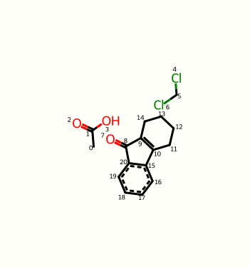 CC(=O)O.ClCCl.O=C1C2=C(CCCC2)c2ccccc21